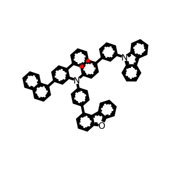 c1ccc(-c2ccc(-c3cccc4ccccc34)cc2N(c2ccc(-c3cccc(-n4c5ccccc5c5ccccc54)c3)cc2)c2ccc(-c3cccc4oc5ccccc5c34)cc2)cc1